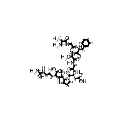 C[C@H](N)C(=O)NCC(=O)N[C@@H](Cc1ccccc1)C(=O)N[C@@H](C)C(=O)NCC(=O)N[C@@H](CC(=O)O)C(=O)N1CCC[C@H]1C(=O)N[C@@H](CCCNC(=N)N)C(=O)O